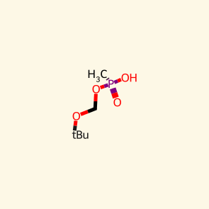 CC(C)(C)OCOP(C)(=O)O